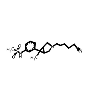 CC1(c2cccc(NS(C)(=O)=O)c2)C2CN(CCCCCC#N)CC21